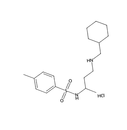 Cc1ccc(S(=O)(=O)NC(C)CCNCC2CCCCC2)cc1.Cl